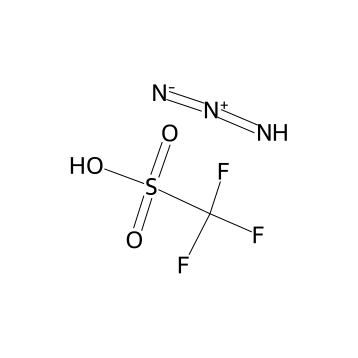 O=S(=O)(O)C(F)(F)F.[N-]=[N+]=N